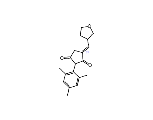 Cc1cc(C)c(C2C(=O)C/C(=C\C3CCOC3)C2=O)c(C)c1